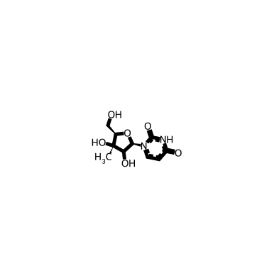 C[C@@]1(O)C(O)[C@H](n2ccc(=O)[nH]c2=O)O[C@@H]1CO